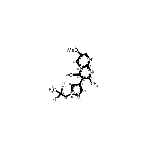 COc1cnc2nc(C(F)(F)F)c(-c3cnn(CC(F)(F)C(F)(F)F)c3)c(=O)n2c1